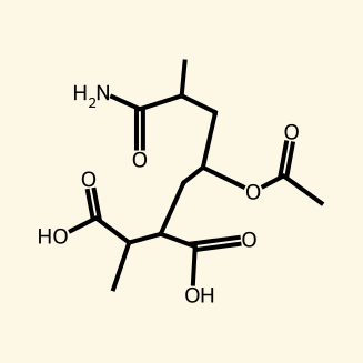 CC(=O)OC(CC(C)C(N)=O)CC(C(=O)O)C(C)C(=O)O